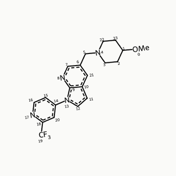 COC1CCN(Cc2cnc3c(ccn3-c3ccnc(C(F)(F)F)c3)c2)CC1